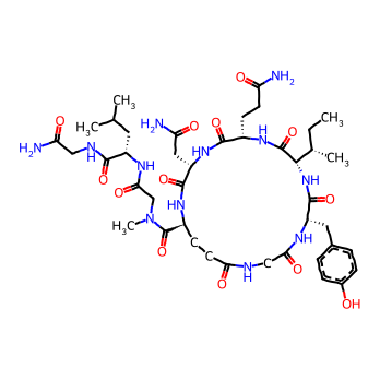 CC[C@H](C)[C@@H]1NC(=O)[C@H](Cc2ccc(O)cc2)NC(=O)CNC(=O)CC[C@@H](C(=O)N(C)CC(=O)N[C@@H](CC(C)C)C(=O)NCC(N)=O)NC(=O)[C@H](CC(N)=O)NC(=O)[C@H](CCC(N)=O)NC1=O